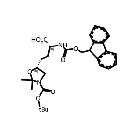 CC(C)(C)OC(=O)N1C[C@@H](CC[C@@H](NC(=O)OCC2c3ccccc3-c3ccccc32)C(=O)O)OC1(C)C